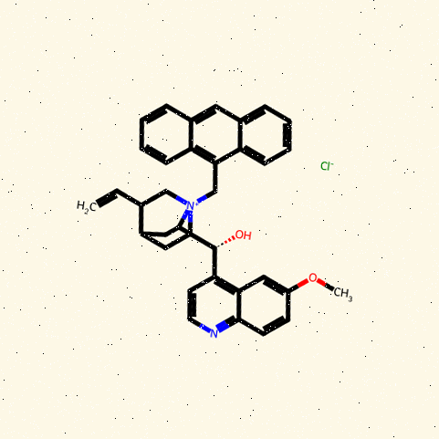 C=CC1C[N+]2(Cc3c4ccccc4cc4ccccc34)CCC1CC2[C@H](O)c1ccnc2ccc(OC)cc12.[Cl-]